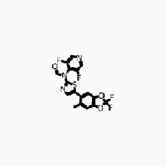 Cc1cc2c(cc1-c1cnc(N(C=O)c3c(F)cncc3F)s1)OC(F)(F)O2